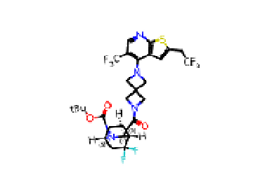 CC(C)(C)OC(=O)N1[C@H]2CC[C@@H]([C@@H]1C(=O)N1CC3(C1)CN(c1c(C(F)(F)F)cnc4sc(CC(F)(F)F)cc14)C3)C(F)(F)C2